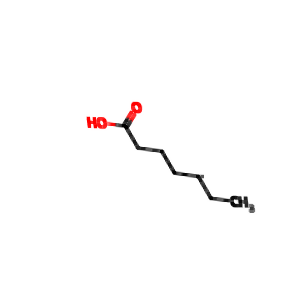 CC[CH]CCCC(=O)O